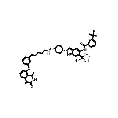 CC(C)(O)c1cc2nn([C@H]3CC[C@H](CNCCCCCc4cccc(Oc5cccc6c5C(=O)NC(=O)C6=O)c4)CC3)cc2cc1NC(=O)c1cccc(C(F)(F)F)n1